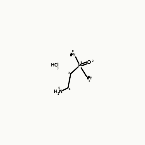 CC(C)P(=O)(CCN)C(C)C.Cl